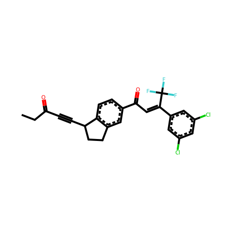 CCC(=O)C#CC1CCc2cc(C(=O)/C=C(/c3cc(Cl)cc(Cl)c3)C(F)(F)F)ccc21